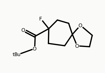 CC(C)(C)OC(=O)C1(F)CCC2(CC1)OCCO2